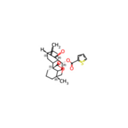 C=C1C(=O)[C@]23CC[C@H]1CC2[C@@]12CCC[C@@](C)(COC1=O)C2C[C@H]3OC(=O)c1cccs1